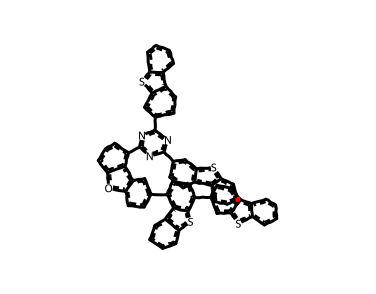 c1cc(-c2nc(-c3ccc4c(c3)sc3ccccc34)nc(-c3ccc4c(c3)sc3ccccc34)n2)c2c(c1)oc1ccc(-c3ccc(-c4ccc5c(c4)sc4ccccc45)c4sc5ccccc5c34)cc12